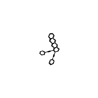 C(#Cc1ccc2cc3cc4ccccc4cc3cc2c1C#Cc1ccccc1)c1ccccc1